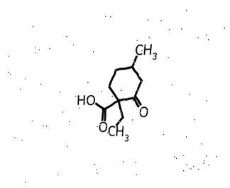 CCC1(C(=O)O)CCC(C)CC1=O